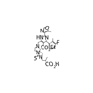 CCOC(=O)C1=C(CN2CCN3C(=S)N(CC(C)C(=O)O)CC3C2)NC(c2ncoc2C)=NC1c1cccc(F)c1C